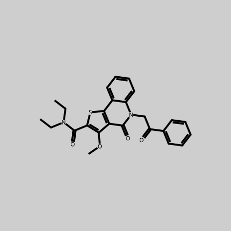 CCN(CC)C(=O)c1sc2c(c1OC)c(=O)n(CC(=O)c1ccccc1)c1ccccc21